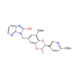 COc1ccc([C@@H]2Oc3c(OC)cc(Cn4c(O)nc5cccnc54)cc3OC2C)cn1